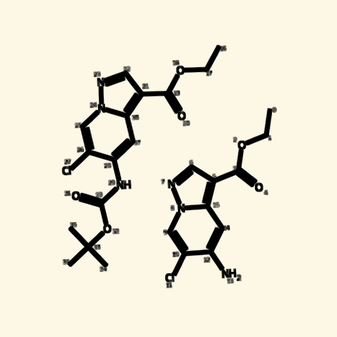 CCOC(=O)c1cnn2cc(Cl)c(N)cc12.CCOC(=O)c1cnn2cc(Cl)c(NC(=O)OC(C)(C)C)cc12